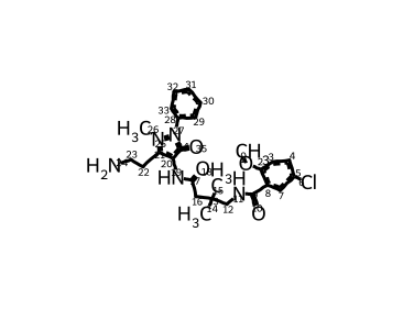 COc1ccc(Cl)cc1C(=O)NCC(C)(C)CC(=O)Nc1c(CCN)n(C)n(-c2ccccc2)c1=O